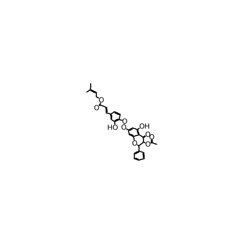 CC(=O)OC1C(=O)c2c(O)cc(OOc3ccc(/C=C/C(=O)OCC=C(C)C)cc3O)cc2OC1c1ccccc1